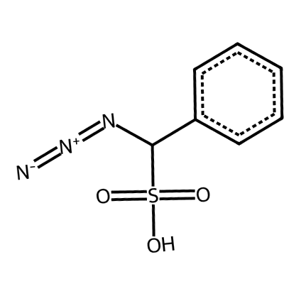 [N-]=[N+]=NC(c1ccccc1)S(=O)(=O)O